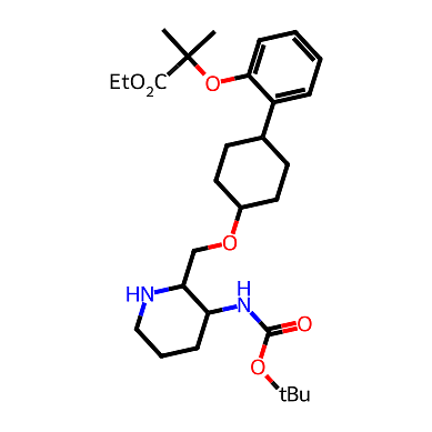 CCOC(=O)C(C)(C)Oc1ccccc1C1CCC(OCC2NCCCC2NC(=O)OC(C)(C)C)CC1